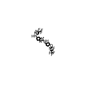 Cn1nc(Nc2ccc3nc(NCc4ccc(Oc5ncc(C(F)(F)F)cn5)cc4)n(C)c3c2)cc1C(F)(F)F